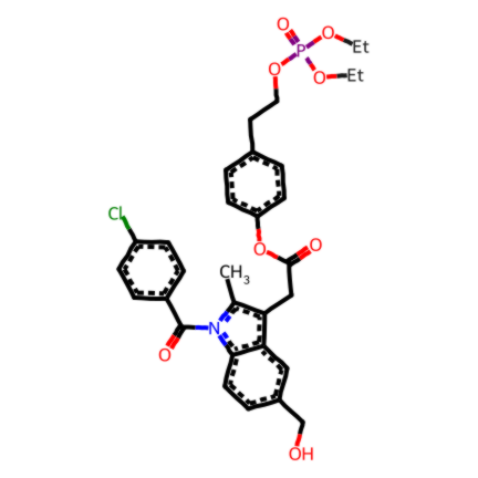 CCOP(=O)(OCC)OCCc1ccc(OC(=O)Cc2c(C)n(C(=O)c3ccc(Cl)cc3)c3ccc(CO)cc23)cc1